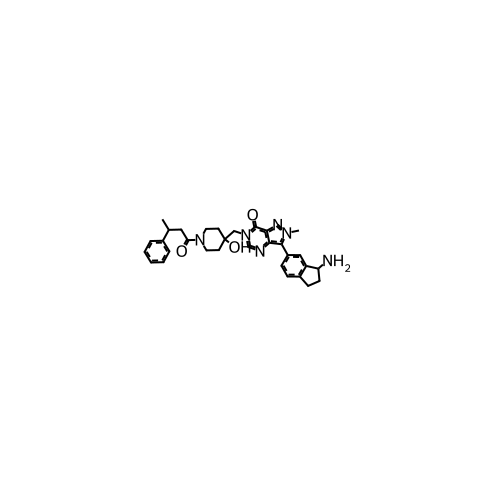 CC(CC(=O)N1CCC(O)(Cn2cnc3c(-c4ccc5c(c4)C(N)CC5)n(C)nc3c2=O)CC1)c1ccccc1